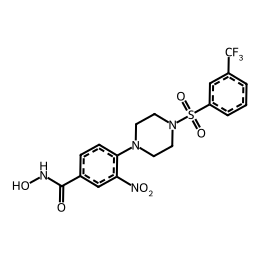 O=C(NO)c1ccc(N2CCN(S(=O)(=O)c3cccc(C(F)(F)F)c3)CC2)c([N+](=O)[O-])c1